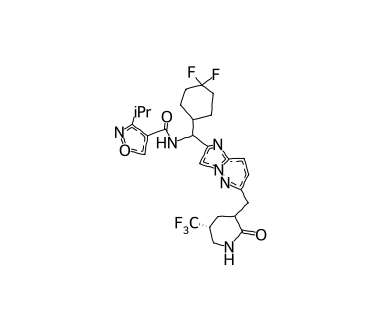 CC(C)c1nocc1C(=O)NC(c1cn2nc(CC3C[C@@H](C(F)(F)F)CNC3=O)ccc2n1)C1CCC(F)(F)CC1